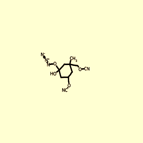 CC1(COC#N)CC(OC#N)CC(O)(ON=[N+]=[N-])C1